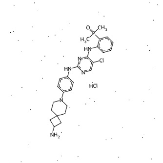 CP(C)(=O)c1ccccc1Nc1nc(Nc2ccc(N3CCC4(CC3)CC(N)C4)cc2)ncc1Cl.Cl